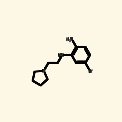 Nc1ccc(Br)cc1NCCN1CCCC1